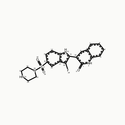 O=c1[nH]c2ccccc2cc1-c1[nH]c2ccc(S(=O)(=O)N3CCNCC3)cc2c1F